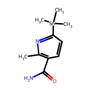 Cc1n[c]([Sn]([CH3])([CH3])[CH3])ccc1C(N)=O